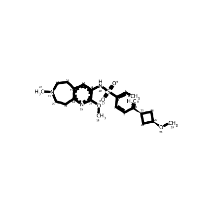 C=C(/C=C\C(=C/C)S(=O)(=O)Nc1cc2c(nc1OC)CCN(C)CC2)[C@H]1C[C@@H](OC)C1